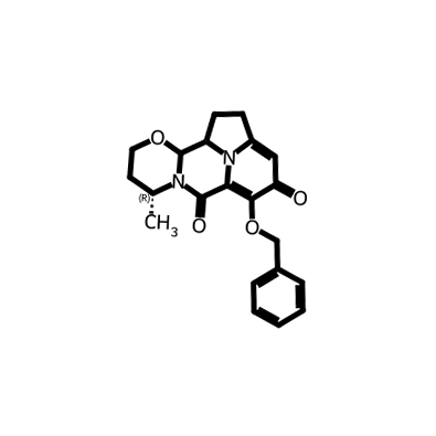 C[C@@H]1CCOC2C3CCc4cc(=O)c(OCc5ccccc5)c(n43)C(=O)N21